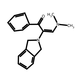 CN(C)C=C(C(=O)c1ccccc1)N1Cc2ccccc2C1